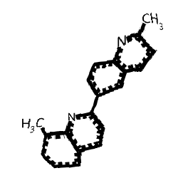 Cc1ccc2cc(-c3ccc4cccc(C)c4n3)ccc2n1